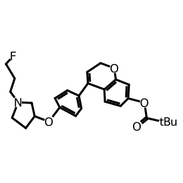 CC(C)(C)C(=O)Oc1ccc2c(c1)OCC=C2c1ccc(OC2CCN(CCCF)C2)cc1